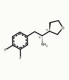 N[C@H](Cc1ccc(F)c(F)c1)[C@H]1CCOC1